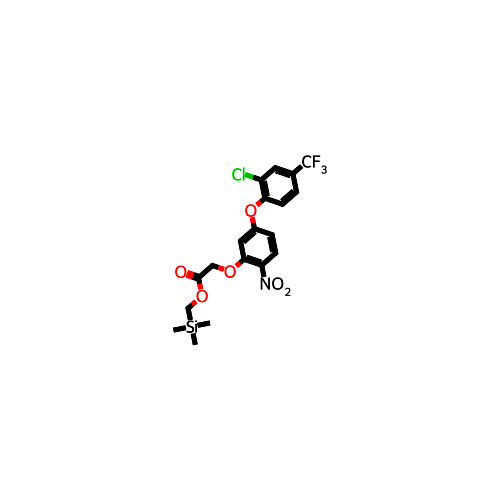 C[Si](C)(C)COC(=O)COc1cc(Oc2ccc(C(F)(F)F)cc2Cl)ccc1[N+](=O)[O-]